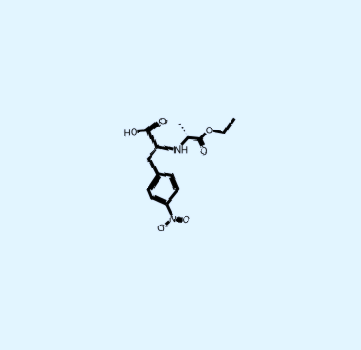 CCOC(=O)[C@@H](C)N[C@@H](Cc1ccc([N+](=O)[O-])cc1)C(=O)O